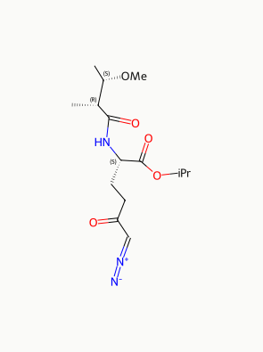 CO[C@@H](C)[C@@H](C)C(=O)N[C@@H](CCC(=O)C=[N+]=[N-])C(=O)OC(C)C